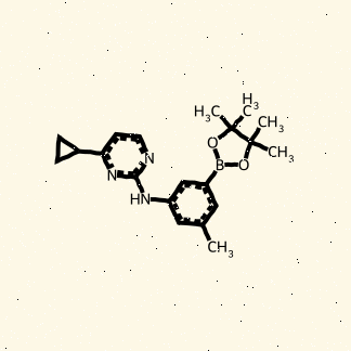 Cc1cc(Nc2nccc(C3CC3)n2)cc(B2OC(C)(C)C(C)(C)O2)c1